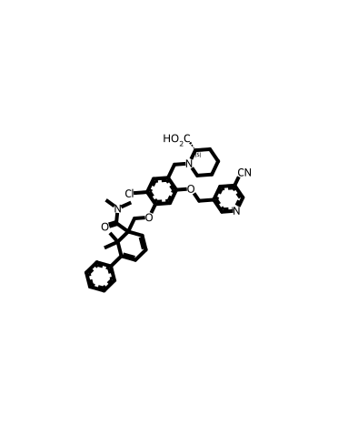 CN(C)C(=O)C1(COc2cc(OCc3cncc(C#N)c3)c(CN3CCCC[C@H]3C(=O)O)cc2Cl)C=CC=C(c2ccccc2)C1(C)C